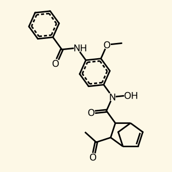 COc1cc(N(O)C(=O)C2C3C=CC(C3)C2C(C)=O)ccc1NC(=O)c1ccccc1